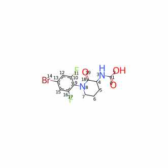 O=C(O)NC1CCCN(c2c(F)cc(Br)cc2F)C1=O